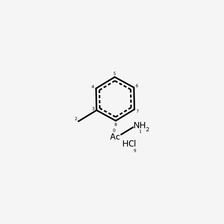 CC(N)=O.Cc1ccccc1.Cl